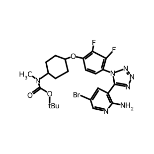 CN(C(=O)OC(C)(C)C)C1CCC(Oc2ccc(-n3nnnc3-c3cc(Br)cnc3N)c(F)c2F)CC1